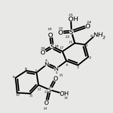 NC1=CC=C(N=Nc2ccccc2S(=O)(=O)O)C(=S(=O)=O)C1S(=O)(=O)O